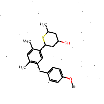 CCOc1ccc(Cc2cc(C3CC(O)CC(C)S3)c(OC)cc2C)cc1